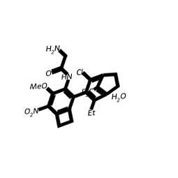 O.[CH2]Cc1c2c(C(F)(F)F)c(c(Cl)c1-c1c3c(c([N+](=O)[O-])c(OC)c1NC(=O)CN)CC3)CC2